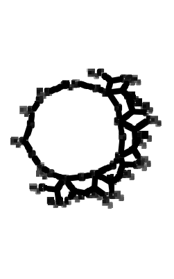 CC(C)[Si]1(C(C)C)O[SiH2]O[SiH2]O[SiH2]O[SiH2]O[SiH2]O[Si](C(C)C)(C(C)C)O[Si](C(C)C)(C(C)C)O[Si](C(C)C)(C(C)C)O[Si](C(C)C)(C(C)C)O1